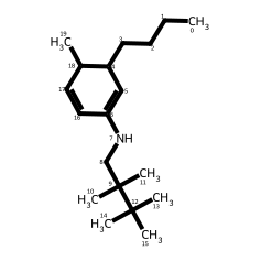 CCCCC1C=C(NCC(C)(C)C(C)(C)C)C=CC1C